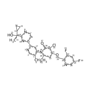 Cc1cnc(-c2ccnc([C@](C)(O)C3CC3)n2)cc1-n1c(C)cc(OCc2ncc(F)cc2F)c(Cl)c1=O